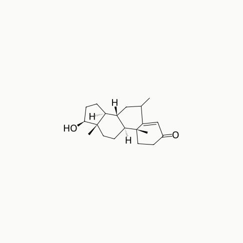 CC1C[C@H]2[C@@H]3CC[C@H](O)[C@@]3(C)CC[C@@H]2[C@@]2(C)CCC(=O)C=C12